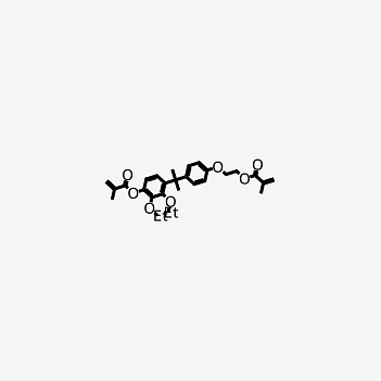 C=C(C)C(=O)OCCOc1ccc(C(C)(C)c2ccc(OC(=O)C(=C)C)c(OCC)c2OCC)cc1